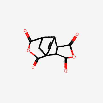 O=C1OC(=O)C23C=CC(C1C2)C1C(=O)OC(=O)C13